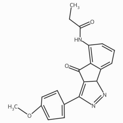 CCC(=O)Nc1cccc2c1C(=O)C1=C(c3ccc(OC)cc3)N=NC12